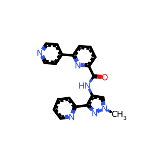 Cn1cc(NC(=O)c2cccc(-c3ccncc3)n2)c(-c2ccccn2)n1